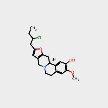 CCC(Cl)Cc1cc2c(o1)C[C@H]1c3cc(O)c(OC)cc3CCN1C2